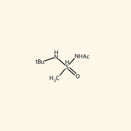 CC(=O)N[SH](C)(=O)NC(C)(C)C